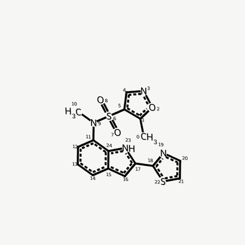 Cc1oncc1S(=O)(=O)N(C)c1cccc2cc(-c3nccs3)[nH]c12